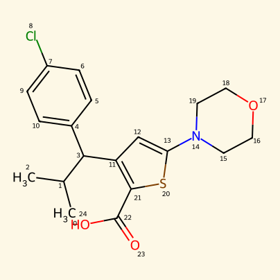 CC(C)C(c1ccc(Cl)cc1)c1cc(N2CCOCC2)sc1C(=O)O